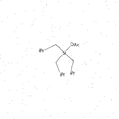 CC(=O)O[Si](CC(C)C)(CC(C)C)CC(C)C